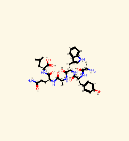 CC(C)C[C@H](NC(=O)[C@H](CCC(N)=O)NC(=O)[C@H](C)NC(=O)[C@H](Cc1c[nH]c2ccccc12)NC(=O)[C@H](Cc1ccc(O)cc1)NC(=O)[C@H](C)N)C(=O)O